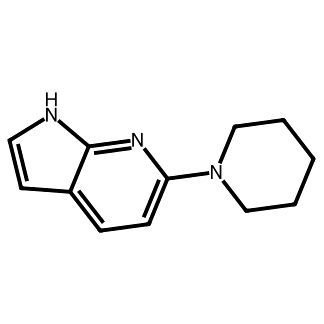 c1cc2ccc(N3CCCCC3)nc2[nH]1